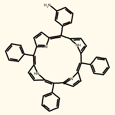 Nc1cccc(-c2c3nc(c(-c4ccccc4)c4ccc([nH]4)c(-c4ccccc4)c4nc(c(-c5ccccc5)c5ccc2[nH]5)C=C4)C=C3)c1